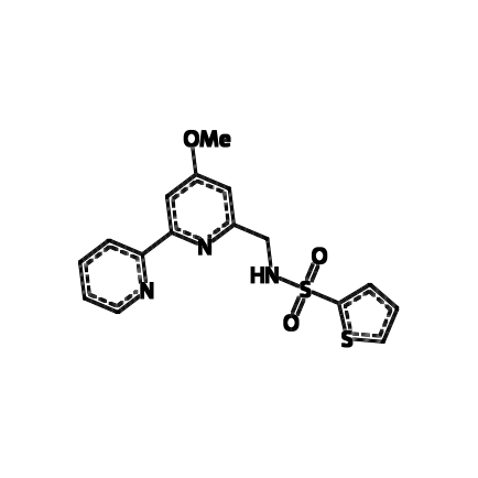 COc1cc(CNS(=O)(=O)c2cccs2)nc(-c2ccccn2)c1